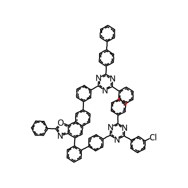 Clc1cccc(-c2nc(-c3ccccc3)nc(-c3ccc(-c4ccccc4-c4cc5ccc(-c6cccc(-c7nc(-c8ccccc8)nc(-c8ccc(-c9ccccc9)cc8)n7)c6)cc5c5oc(-c6ccccc6)nc45)cc3)n2)c1